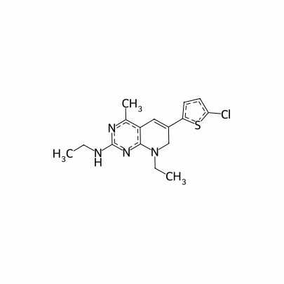 CCNc1nc(C)c2c(n1)N(CC)CC(c1ccc(Cl)s1)=C2